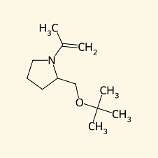 C=C(C)N1CCCC1COC(C)(C)C